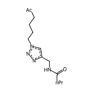 CCCC(=O)NCc1cn(CCCCC(C)=O)nn1